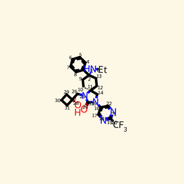 CCN[C@]1(c2ccccc2)CC[C@]2(CC1)CN(c1cnc(C(F)(F)F)nc1)C(=O)N2CC1(O)CCC1